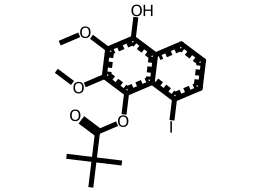 COc1c(OC)c(OC(=O)C(C)(C)C)c2c(I)cccc2c1O